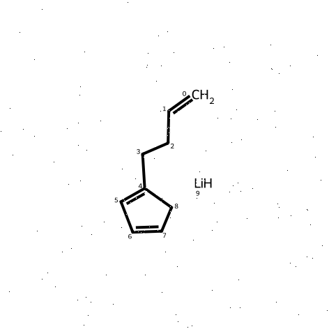 C=CCCC1=CC=CC1.[LiH]